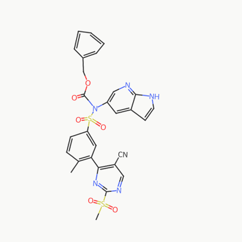 Cc1ccc(S(=O)(=O)N(C(=O)OCc2ccccc2)c2cnc3[nH]ccc3c2)cc1-c1nc(S(C)(=O)=O)ncc1C#N